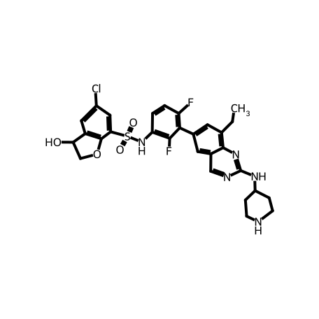 CCc1cc(-c2c(F)ccc(NS(=O)(=O)c3cc(Cl)cc4c3OCC4O)c2F)cc2cnc(NC3CCNCC3)nc12